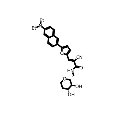 CCN(CC)c1ccc2cc(-c3ccc(/C=C(\C#N)C(=O)NC[C@H]4OCC[C@@H](O)[C@@H]4O)o3)ccc2c1